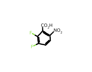 O=C(O)c1c([N+](=O)[O-])ccc(F)c1F